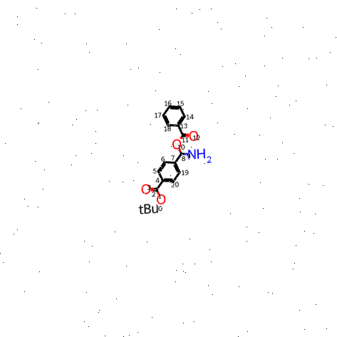 CC(C)(C)OC(=O)c1ccc(C(N)OC(=O)c2ccccc2)cc1